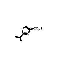 CC(F)c1nc(C(=O)O)co1